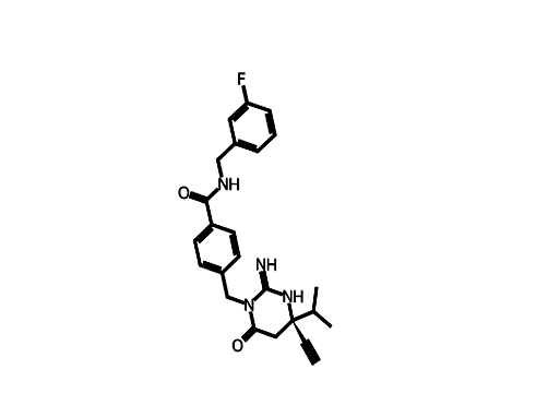 C#C[C@@]1(C(C)C)CC(=O)N(Cc2ccc(C(=O)NCc3cccc(F)c3)cc2)C(=N)N1